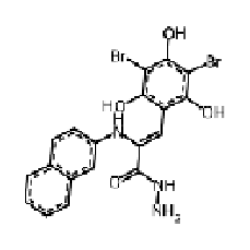 NNC(=O)C(=Cc1c(O)c(Br)c(O)c(Br)c1O)Nc1ccc2ccccc2c1